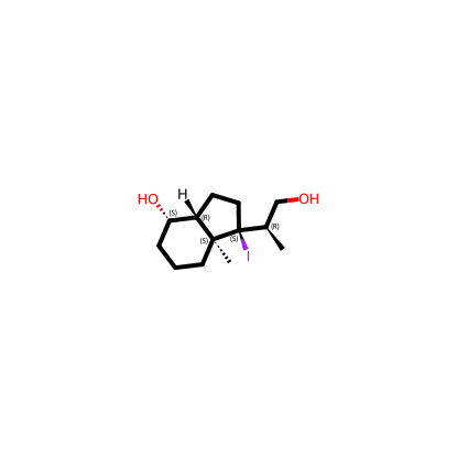 C[C@H](CO)[C@@]1(I)CC[C@H]2[C@@H](O)CCC[C@@]21C